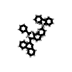 c1ccc(-c2nc(-c3cc4ccccc4c4ccccc34)c3ccc4ccc(-n5c6ccccc6c6cccnc65)nc4c3n2)cc1